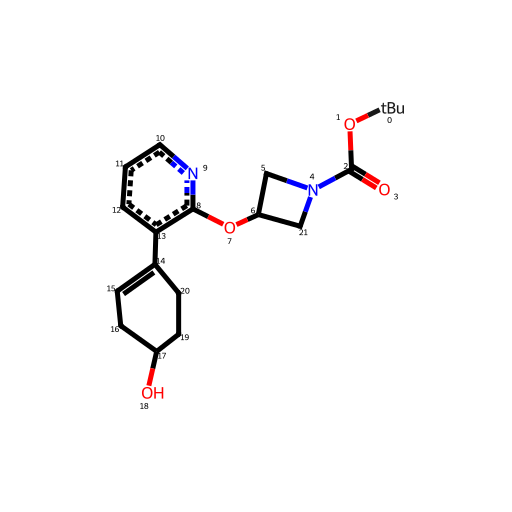 CC(C)(C)OC(=O)N1CC(Oc2ncccc2C2=CCC(O)CC2)C1